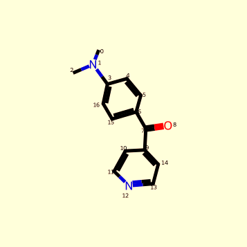 CN(C)c1ccc(C(=O)c2ccncc2)cc1